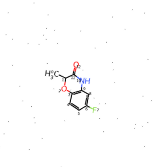 CC1Oc2ccc(F)cc2NC1=O